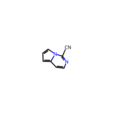 N#Cc1nccc2cccn12